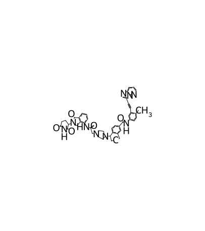 Cc1ccc(NC(=O)c2ccc3c(c2)CCCC3N2CCN(CC(=O)Nc3cccc4c3CN(C3CCC(=O)NC3=O)C4=O)CC2)cc1C#Cc1cnc2cccnn12